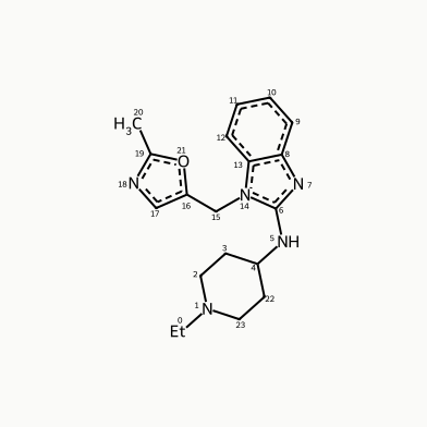 [CH2]CN1CCC(Nc2nc3ccccc3n2Cc2cnc(C)o2)CC1